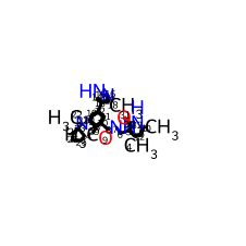 Cc1cc(C)c(CNC(=O)c2cc(-c3c[nH]nc3C)cc(N(C)C3CCCC3)c2C)c(=O)[nH]1